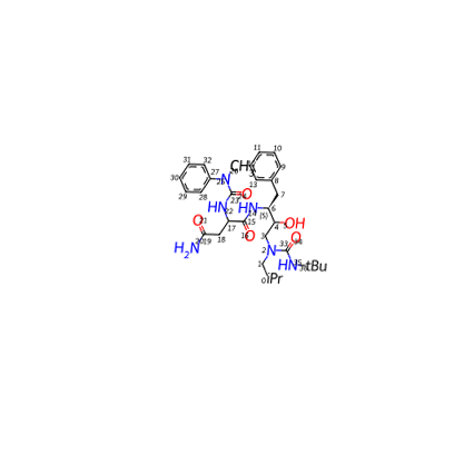 CC(C)CN(CC(O)[C@H](Cc1ccccc1)NC(=O)C(CC(N)=O)NC(=O)N(C)c1ccccc1)C(=O)NC(C)(C)C